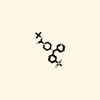 CC(C)(C)OC(=O)N1CCC([C@H](c2cccnc2)c2cccc(S(C)(=O)=O)c2)CC1